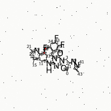 C#C/C(Cn1c(=O)nc(N/C(=C/C(=C(C)C)/C(C=C)=N\C(C)C)CCC)n(Cc2cc(F)c(F)cc2F)c1=O)=N\N(C)C=C